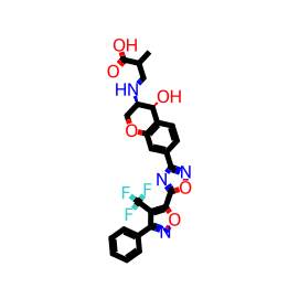 CC(CN[C@@H]1COc2cc(-c3noc(-c4onc(-c5ccccc5)c4C(F)(F)F)n3)ccc2[C@H]1O)C(=O)O